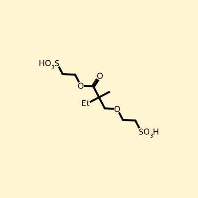 CCC(C)(COCCS(=O)(=O)O)C(=O)OCCS(=O)(=O)O